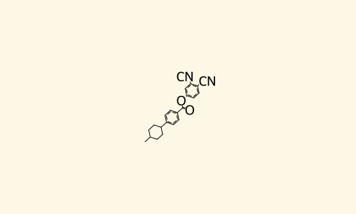 CC1CCC(c2ccc(C(=O)Oc3ccc(C#N)c(C#N)c3)cc2)CC1